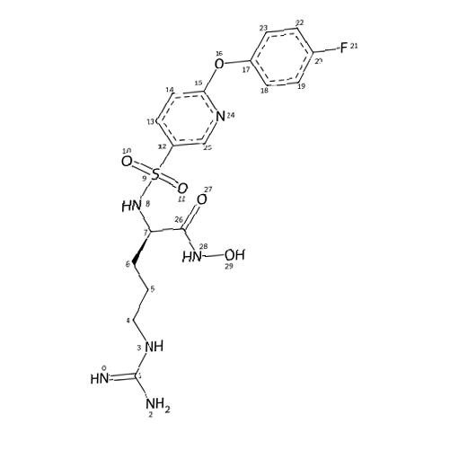 N=C(N)NCCC[C@@H](NS(=O)(=O)c1ccc(Oc2ccc(F)cc2)nc1)C(=O)NO